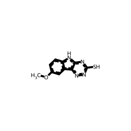 COc1ccc2[nH]c3nc(S)nnc3c2c1